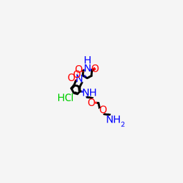 Cl.NCCOCCOCCNc1cccc2c1C[N+]([O-])(C1CCC(=O)NC1=O)C2=O